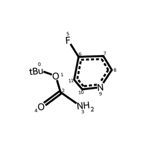 CC(C)(C)OC(N)=O.Fc1ccncc1